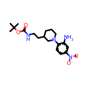 CC(C)(C)OC(=O)NCCC1CCCN(c2ccc([N+](=O)[O-])cc2N)C1